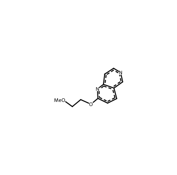 COCCOc1ccc2cnccc2n1